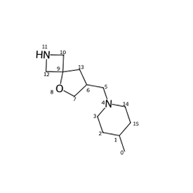 CC1CCN(CC2COC3(CNC3)C2)CC1